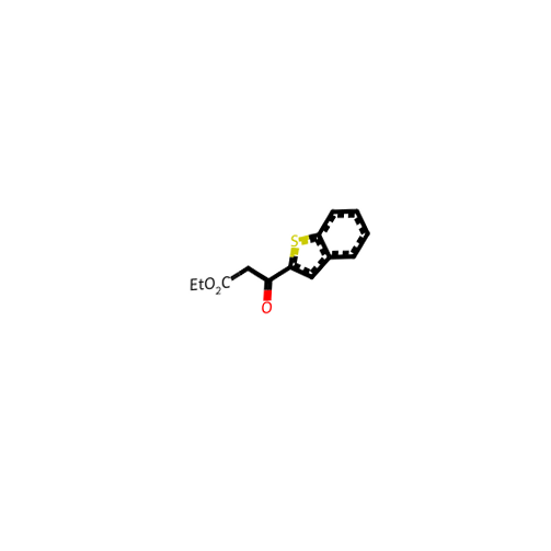 CCOC(=O)CC(=O)c1cc2ccccc2s1